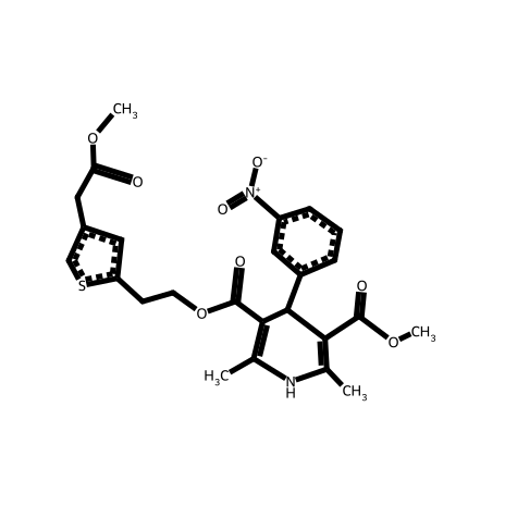 COC(=O)Cc1csc(CCOC(=O)C2=C(C)NC(C)=C(C(=O)OC)C2c2cccc([N+](=O)[O-])c2)c1